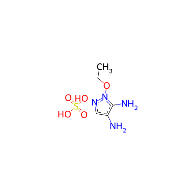 CCOn1ncc(N)c1N.O=S(=O)(O)O